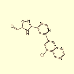 O=CC1NC(c2cc(-c3cc(Cl)c4cncnc4c3)ncn2)=NO1